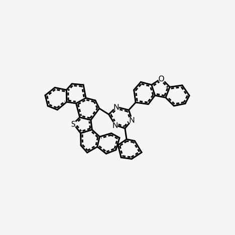 c1ccc(-c2nc(-c3ccc4oc5ccccc5c4c3)nc(-c3cc4ccc5ccccc5c4c4sc5ccc6ccccc6c5c34)n2)cc1